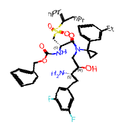 CCCC(CCC)S(=O)(=O)C[C@@H](NC(=O)OCc1ccccc1)C(=O)N(C[C@@H](O)[C@@H](N)Cc1cc(F)cc(F)c1)C1(c2cccc(CC)c2)CC1